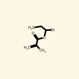 C=C(C)C(=O)OC(CC)C[SiH3]